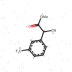 COC(=O)C(C#N)c1cccc(C(F)(F)F)c1